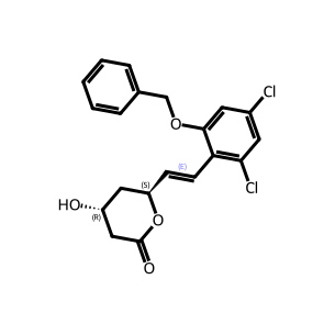 O=C1C[C@H](O)C[C@@H](/C=C/c2c(Cl)cc(Cl)cc2OCc2ccccc2)O1